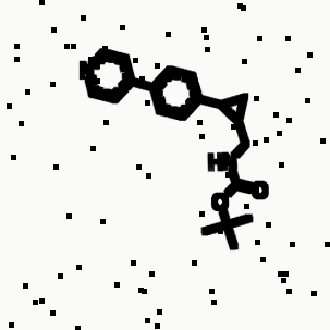 CC(C)(C)OC(=O)NCC1CC1c1ccc(-c2ccncc2)cc1